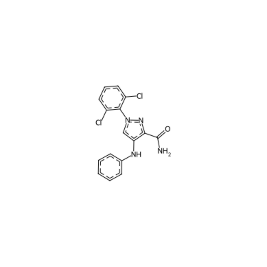 NC(=O)c1nn(-c2c(Cl)cccc2Cl)cc1Nc1ccccc1